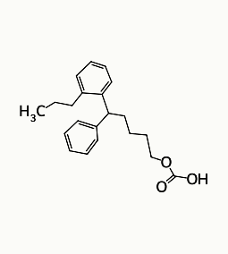 CCCc1ccccc1C(CCCCOC(=O)O)c1ccccc1